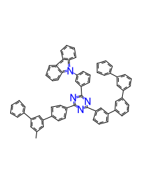 Cc1cc(-c2ccccc2)cc(-c2ccc(-c3nc(-c4cccc(-c5cccc(-c6cccc(-c7ccccc7)c6)c5)c4)nc(-c4cccc(-n5c6ccccc6c6ccccc65)c4)n3)cc2)c1